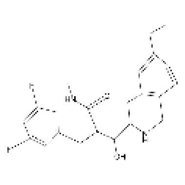 CCc1ccc2c(c1)CC(C(O)C(Cc1cc(F)cc(F)c1)C(=O)NC)NC2